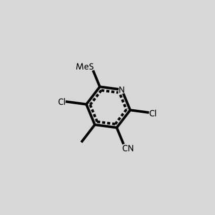 CSc1nc(Cl)c(C#N)c(C)c1Cl